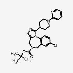 CC(C)(C)OC(=O)N1Cc2cc(Cl)ccc2-n2c(nnc2C2CCN(c3ccccn3)CC2)C1